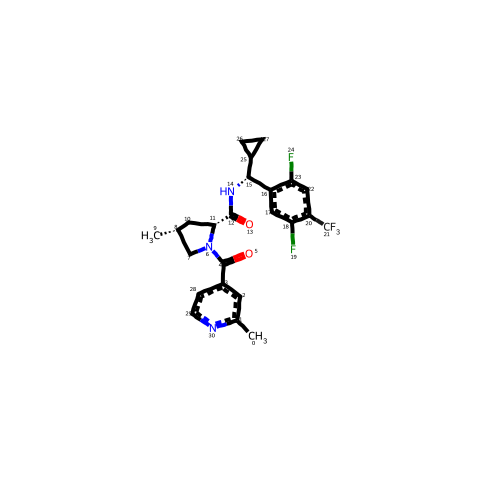 Cc1cc(C(=O)N2C[C@H](C)C[C@@H]2C(=O)N[C@@H](c2cc(F)c(C(F)(F)F)cc2F)C2CC2)ccn1